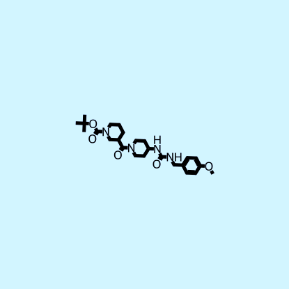 COc1ccc(CNC(=O)NC2CCN(C(=O)C3CCCN(C(=O)OC(C)(C)C)C3)CC2)cc1